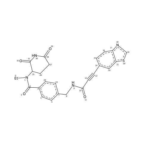 CCN(C(=O)c1ccc(CNC(=O)C#Cc2ccc3ncsc3c2)cc1)C1CCC(=O)NC1=O